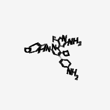 Nc1cc(-c2nc(NCC3CCOCC3)cc([C@H]3CC[C@H](N)CC3)c2Cl)c(F)cn1